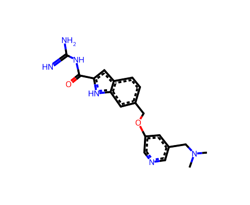 CN(C)Cc1cncc(OCc2ccc3cc(C(=O)NC(=N)N)[nH]c3c2)c1